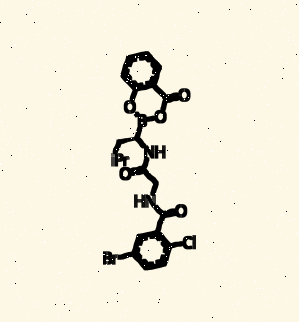 CC(C)C[C@H](NC(=O)CNC(=O)c1cc(Br)ccc1Cl)B1OC(=O)c2ccccc2O1